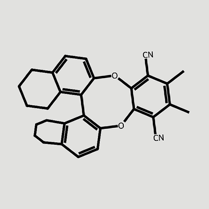 Cc1c(C)c(C#N)c2oc3ccc4c(c3c3c5c(ccc3oc2c1C#N)CCCC5)CCCC4